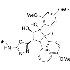 CCCNc1nnc([C@@H]2C(c3ccccc3)C3(c4ccc(OC)cc4)Oc4cc(OC)cc(OC)c4C3(O)[C@@H]2O)o1